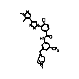 Cc1c(-c2cn(-c3cc(C(=O)Nc4cc(CN5CC6CC5CN6C)cc(C(F)(F)F)c4)ccc3Cl)nn2)cnn1C